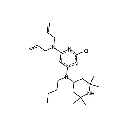 C=CCN(CC=C)c1nc(Cl)nc(N(CCCC)C2CC(C)(C)NC(C)(C)C2)n1